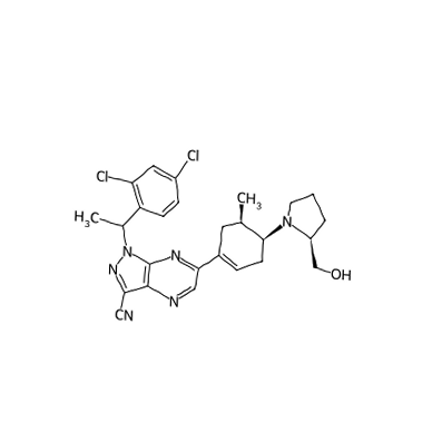 CC(c1ccc(Cl)cc1Cl)n1nc(C#N)c2ncc(C3=CC[C@H](N4CCC[C@H]4CO)[C@H](C)C3)nc21